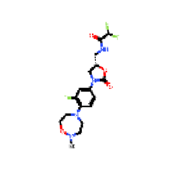 CCN1CCN(c2ccc(N3C[C@H](CNC(=O)C(F)F)OC3=O)cc2F)CCO1